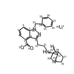 O=C([O-])c1cccc2c1c(CCN[C@H]1CN3CCC1CC3)nn2Cc1ccccc1.[Li+]